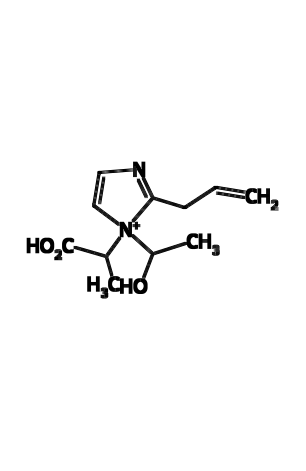 C=CCC1=NC=C[N+]1(C(C)O)C(C)C(=O)O